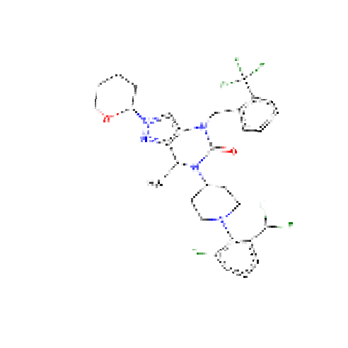 CC1c2nn(C3CCCCO3)cc2N(Cc2ccccc2C(F)(F)F)C(=O)N1C1CCN(c2c(F)cccc2C(F)F)CC1